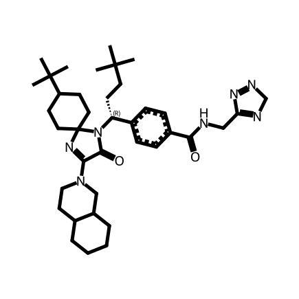 CC(C)(C)CC[C@H](c1ccc(C(=O)NCC2=NCN=N2)cc1)N1C(=O)C(N2CCC3CCCCC3C2)=NC12CCC(C(C)(C)C)CC2